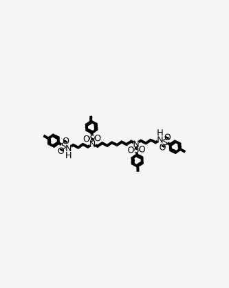 Cc1ccc(S(=O)(=O)NCCCCN(CCCCCCCCN(CCCCNS(=O)(=O)c2ccc(C)cc2)S(=O)(=O)c2ccc(C)cc2)S(=O)(=O)c2ccc(C)cc2)cc1